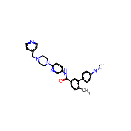 [C-]#[N+]c1ccc(-c2cc(C(=O)Nc3ccc(N4CCN(Cc5ccncc5)CC4)nc3)ccc2C)cc1